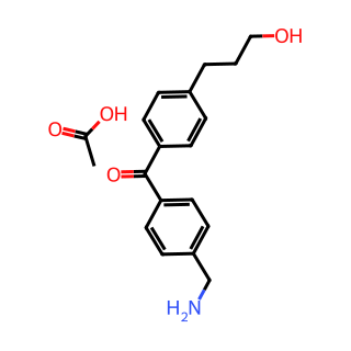 CC(=O)O.NCc1ccc(C(=O)c2ccc(CCCO)cc2)cc1